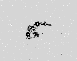 CC(C)CN(C[C@@H](O)[C@H](Cc1ccc(OCc2noc(C(C)(C)C)n2)cc1)NC(=O)O[C@H]1CO[C@H]2OCC[C@H]21)S(=O)(=O)c1ccc2c(c1)OCO2